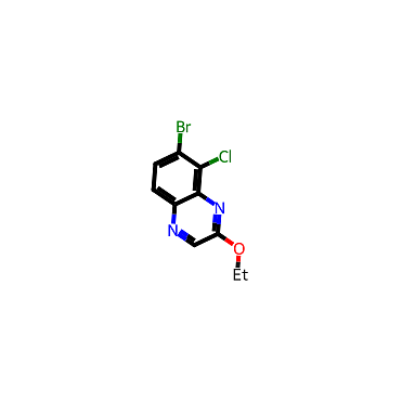 CCOc1cnc2ccc(Br)c(Cl)c2n1